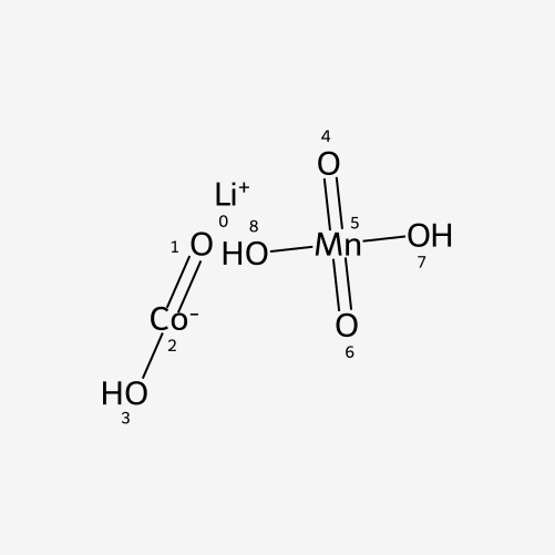 [Li+].[O]=[Co-][OH].[O]=[Mn](=[O])([OH])[OH]